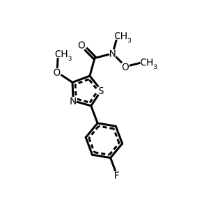 COc1nc(-c2ccc(F)cc2)sc1C(=O)N(C)OC